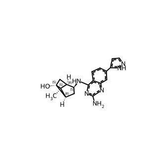 C[C@@]12[C@H]3C[C@H](Nc4nc(N)nc5cc(-c6ccn[nH]6)ccc45)[C@@H]1C[C@]32O